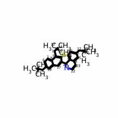 CC(C)(C)Cc1ccc2c(CC(C)(C)C)c3c(cc2c1)-c1nccc2cc(CC(C)(C)C)cc(c12)S3